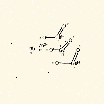 [O]=[GeH][O-].[O]=[GeH][O-].[O]=[GeH][O-].[Rb+].[Zn+2]